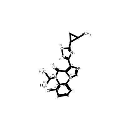 CC1CC1c1nc(-c2ncn3c2c(=O)n(C(C)C)c2c(Cl)cccc23)no1